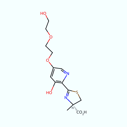 C[C@]1(C(=O)O)CSC(c2ncc(OCCOCCO)cc2O)=N1